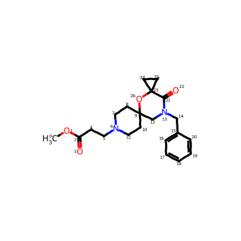 COC(=O)CCN1CCC2(CC1)CN(Cc1ccccc1)C(=O)C1(CC1)O2